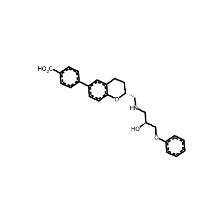 O=C(O)c1ccc(-c2ccc3c(c2)CC[C@H](CNC[C@H](O)COc2ccccc2)O3)cc1